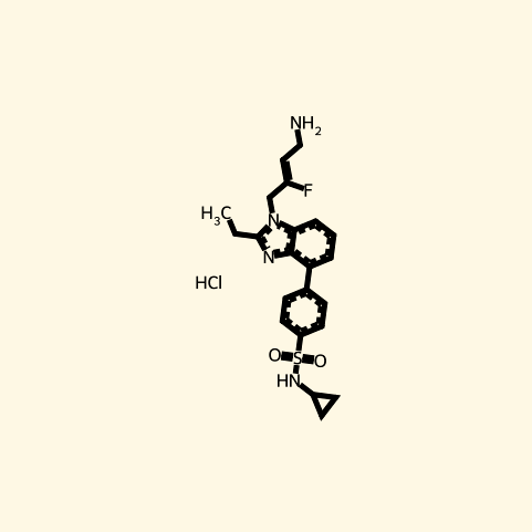 CCc1nc2c(-c3ccc(S(=O)(=O)NC4CC4)cc3)cccc2n1C/C(F)=C/CN.Cl